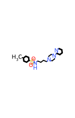 Cc1ccc(S(=O)(=O)NCCCCN2CCN(c3ccccn3)CC2)cc1